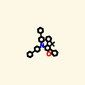 CC1(C)c2ccccc2-c2c(N(c3ccc(-c4ccccc4)cc3)c3ccc(-c4ccccc4)cc3)cc3oc4ccccc4c3c21